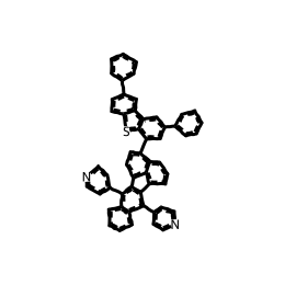 c1ccc(-c2ccc3sc4c(-c5ccc6c7c(cccc57)-c5c-6c(-c6ccncc6)c6ccccc6c5-c5ccncc5)cc(-c5ccccc5)cc4c3c2)cc1